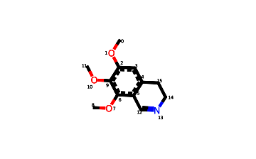 COc1cc2c(c(OC)c1OC)C=NCC2